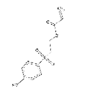 C=CC(=O)OCCS(=O)(=O)c1ccc(O)cc1